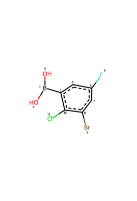 OB(O)c1cc(F)cc(Br)c1Cl